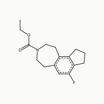 CCOC(=O)N1CCc2cc(F)c3c(c2CC1)CCC3